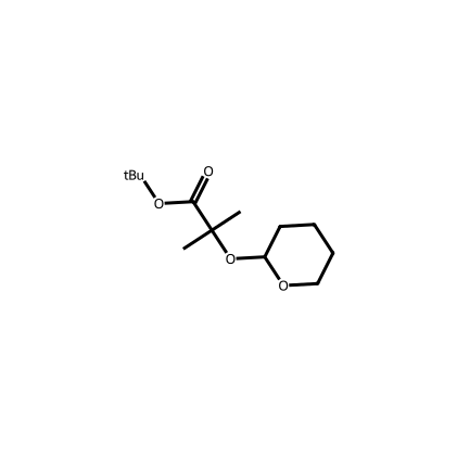 CC(C)(C)OC(=O)C(C)(C)OC1CCCCO1